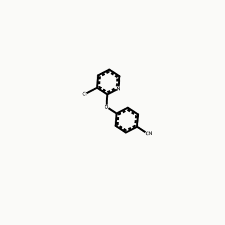 N#Cc1ccc(Oc2ncccc2Cl)cc1